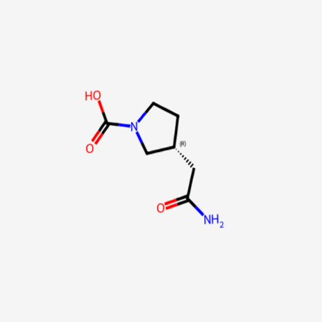 NC(=O)C[C@H]1CCN(C(=O)O)C1